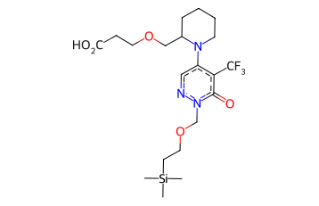 C[Si](C)(C)CCOCn1ncc(N2CCCCC2COCCC(=O)O)c(C(F)(F)F)c1=O